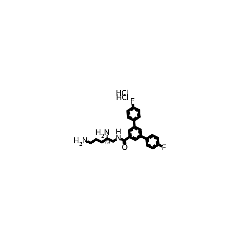 Cl.Cl.NCCC[C@H](N)CNC(=O)c1cc(-c2ccc(F)cc2)cc(-c2ccc(F)cc2)c1